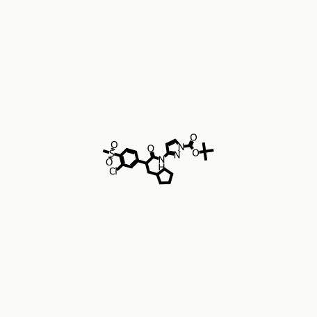 CC(C)(C)OC(=O)n1ccc(NC(=O)C(CC2CCCC2)c2ccc(S(C)(=O)=O)c(Cl)c2)n1